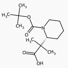 CC(C)(C)OC(=O)N1CCCC[C@@H]1C(C)(C)C(=O)O